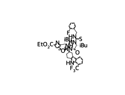 CCOC(=O)c1csc([C@@H](NC(=O)[C@@]2(NC(=O)[C@@H](NC(=S)NCc3ccccc3F)[C@@H](C)CC)CCc3[nH]c4c(C(F)(F)F)cccc4c3C2)[C@@H](C)CC)n1